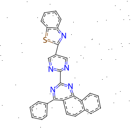 c1ccc(-c2nc(-c3ncc(-c4nc5ccccc5s4)cn3)nc3c2ccc2ccccc23)cc1